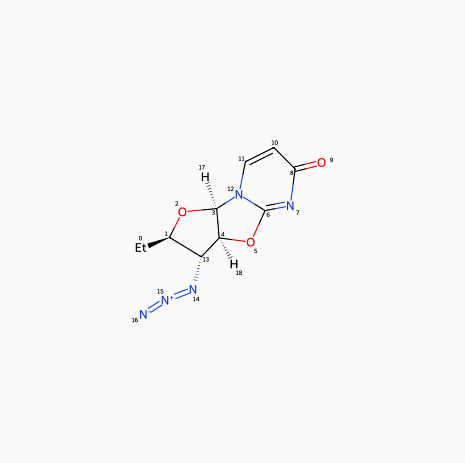 CC[C@H]1O[C@@H]2[C@@H](Oc3nc(=O)ccn32)[C@@H]1N=[N+]=[N-]